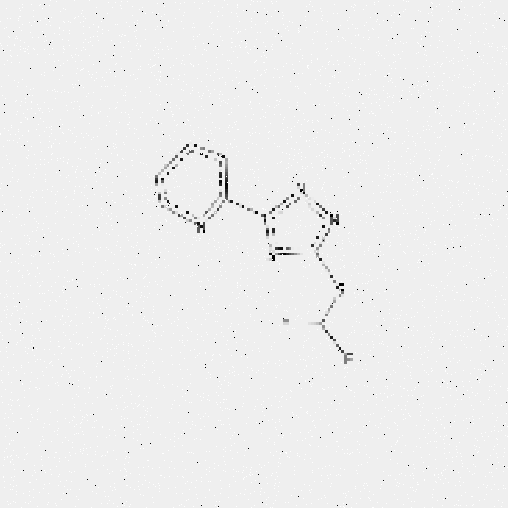 FC(F)Sc1nnc(-c2ccccn2)s1